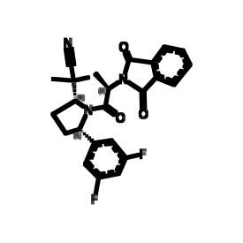 C[C@H](C(=O)N1[C@H](c2cc(F)cc(F)c2)CC[C@@H]1C(C)(C)C#N)N1C(=O)c2ccccc2C1=O